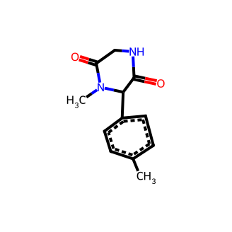 Cc1ccc(C2C(=O)NCC(=O)N2C)cc1